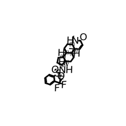 CN1C(=O)C=C[C@]2(C)[C@H]3CC[C@]4(C)[C@@H](NS(=O)(=O)c5ccccc5C(F)(F)F)CC[C@H]4[C@@H]3CC[C@@H]12